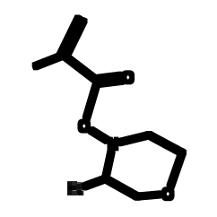 C=C(C)C(=O)ON1CCOCC1CC